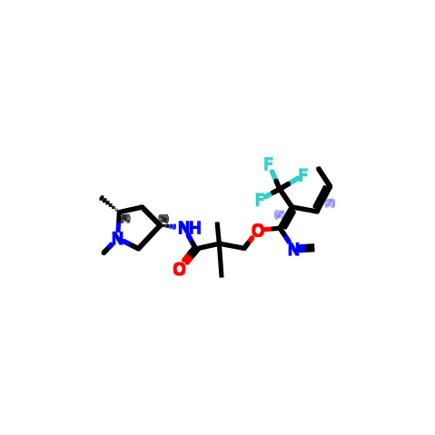 C=N/C(OCC(C)(C)C(=O)N[C@H]1C[C@@H](C)N(C)C1)=C(\C=C/C)C(F)(F)F